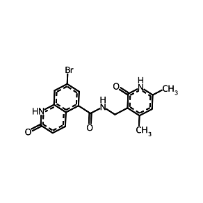 Cc1cc(C)c(CNC(=O)c2cc(Br)cc3[nH]c(=O)ccc23)c(=O)[nH]1